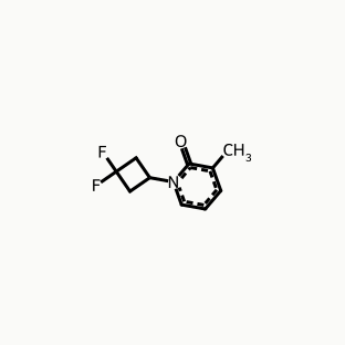 Cc1cccn(C2CC(F)(F)C2)c1=O